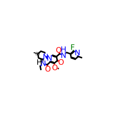 CCN1C(=O)c2c(OC)c(=O)c(C(=O)NCc3ccc(C)nc3F)cn2N2CC[C@H](C)C[C@@H]12